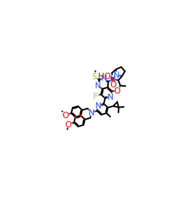 COc1ccc(CN(Cc2ccc(OC)cc2)c2cc(C)c(C3CC3(C)C)c(-c3nc4c5c(nc(SC)nc5c3F)N3CC5CCC(C3C(C)O4)N5C(=O)O)n2)cc1